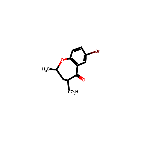 CC1CC(C(=O)O)C(=O)c2cc(Br)ccc2O1